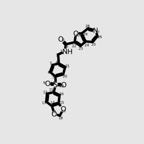 O=C(NCc1ccc(S(=O)(=O)c2ccc3c(c2)OCO3)cc1)c1cc2ccncc2o1